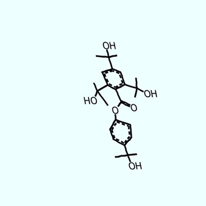 CC(C)(O)c1ccc(OC(=O)c2c(C(C)(C)O)cc(C(C)(C)O)cc2C(C)(C)O)cc1